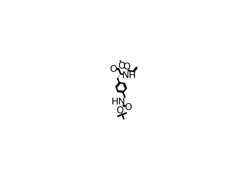 C=CC(=O)N[C@H](Cc1ccc(CNC(=O)OC(C)(C)C)cc1)C(=O)OC